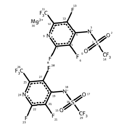 O=S(=O)([N-]c1c(F)c(F)nc(C(F)(F)F)c1F)C(F)(F)F.O=S(=O)([N-]c1c(F)c(F)nc(C(F)(F)F)c1F)C(F)(F)F.[Mg+2]